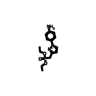 CCOP(=O)(Cc1ccn(-c2ccc(N)cc2)n1)OCC